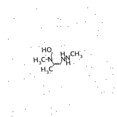 CNN/C=C(/C)N(C)CO